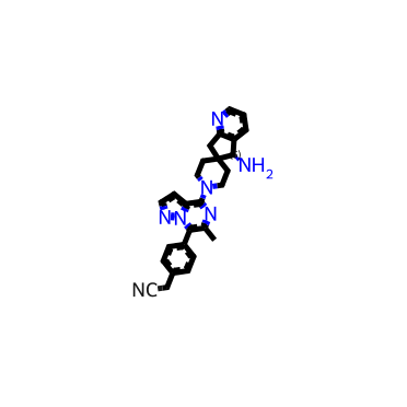 Cc1nc(N2CCC3(CC2)Cc2ncccc2[C@H]3N)c2ccnn2c1-c1ccc(CC#N)cc1